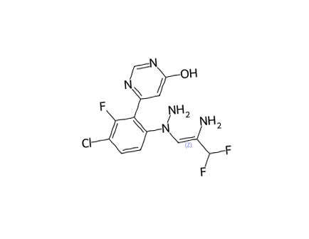 N/C(=C\N(N)c1ccc(Cl)c(F)c1-c1cc(O)ncn1)C(F)F